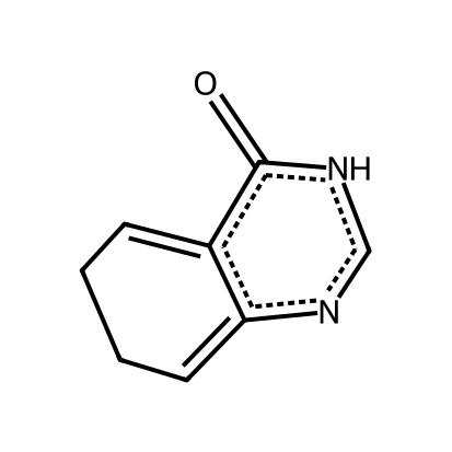 O=c1[nH]cnc2c1=CCCC=2